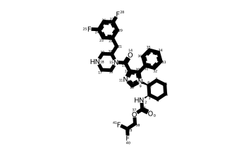 O=C(N[C@H]1CCCC[C@@H]1n1cnc(C(=O)N2CCNCC2Cc2cc(F)cc(F)c2)c1-c1ccccc1)OCC(F)F